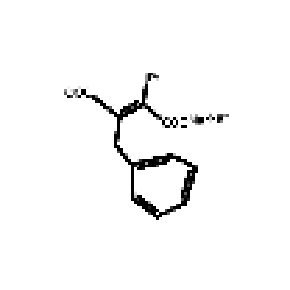 CC(C)C(C(=O)[O-])=C(Cc1ccccc1)C(=O)[O-].[Na+].[Na+]